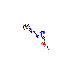 CCOC(=O)CCCc1ccc(CN(Cc2ncc[nH]2)Cc2nccn2CCCN2CCC3(CCN(C(CC)CC)CC3)C2)s1